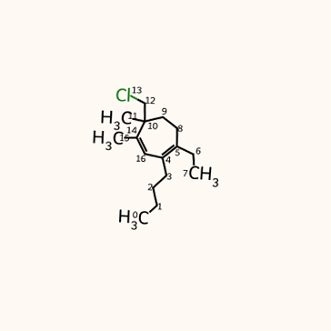 CCCCC1=C(CC)CCC(C)(CCl)C(C)=C1